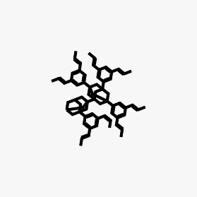 CC=Cc1cc(C=CC)cc(C23CC4CC(C2)CC(C25CC6(c7cc(C=CC)cc(C=CC)c7)CC(c7cc(C=CC)cc(C=CC)c7)(CC(c7cc(C=CC)cc(C=CC)c7)(C6)C2)C5)(C4)C3)c1